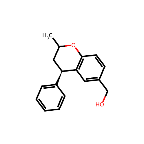 CC1C[C@H](c2ccccc2)c2cc(CO)ccc2O1